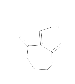 CC=C1C(=O)CCCCC1=O